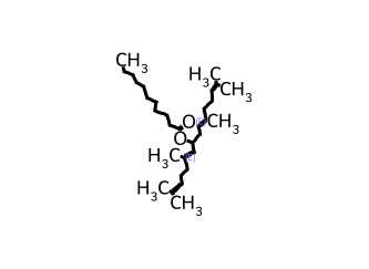 CCCCCCCCCCC(=O)OC(/C=C(\C)CCC=C(C)C)C/C=C(\C)CCC=C(C)C